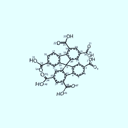 O=C(O)c1ccc2c(c1)C1(c3cc(C(=O)O)ccc3-c3c(C(=O)O)cc(C(=O)O)cc31)c1cc(C(=O)O)cc(C(=O)O)c1-2